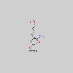 NC(=O)C(CCCCO)CCOC(=O)O